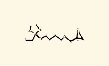 CC[Si](OC)(OC)OCCCCOCC1CO1